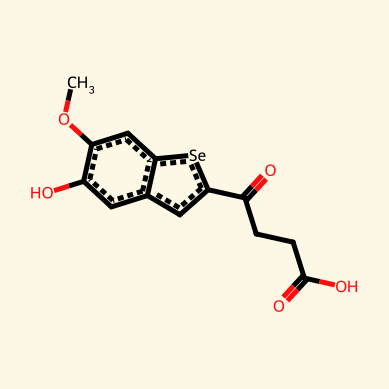 COc1cc2[se]c(C(=O)CCC(=O)O)cc2cc1O